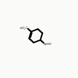 CC(=O)NC1CC=C(C(=O)O)CC1